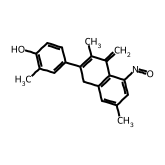 C=C1C(C)=C(c2ccc(O)c(C)c2)Cc2cc(C)cc(N=O)c21